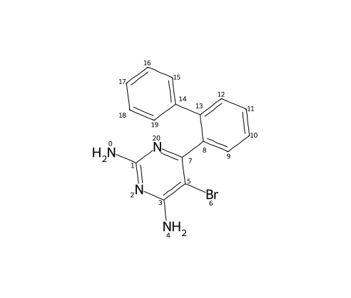 Nc1nc(N)c(Br)c(-c2ccccc2-c2ccccc2)n1